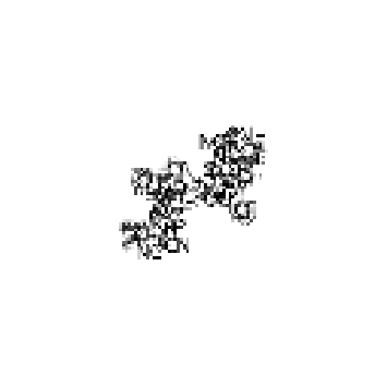 N#CC(C#N)=C1/C(=N/c2cc3c(s2)C2=CC4C=C5C(=CC4C=C2C3(C(=O)OCc2ccccc2)C(=O)OCc2ccccc2)c2sc(/N=C3\C(=O)c4cc(F)c(F)cc4C3=C(C#N)C#N)cc2C5(C(=O)OCc2ccccc2)C(=O)OCc2ccccc2)C(=O)c2cc(F)c(F)cc21